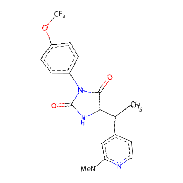 CNc1cc(C(C)C2NC(=O)N(c3ccc(OC(F)(F)F)cc3)C2=O)ccn1